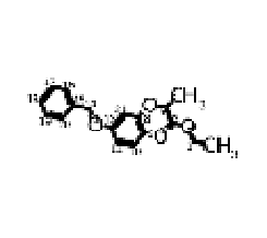 CCOC(=O)C(C)Oc1cccc(OCc2ccccc2)c1